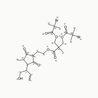 C=CC(CO)C1C(=O)N(CCOC(=O)C(C)(COC(=O)C(C)(C)Br)COC(=O)C(C)(C)Br)C(=O)C1C